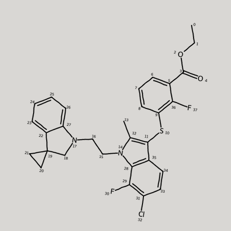 CCOC(=O)c1cccc(Sc2c(C)n(CCN3CC4(CC4)c4ccccc43)c3c(F)c(Cl)ccc23)c1F